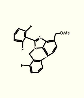 COCc1cccc2c1nc(-c1c(F)cccc1F)n2Cc1c(F)cccc1F